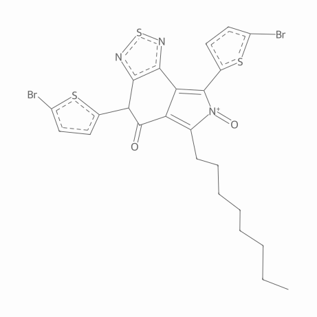 CCCCCCCCC1=C2C(=O)C(c3ccc(Br)s3)c3nsnc3C2=C(c2ccc(Br)s2)[N+]1=O